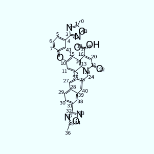 Cc1nc(-c2cccc(Oc3ccc4c(c3)c(C(=O)O)cc(=O)n4Cc3ccc4ccc(-c5noc(C)n5)cc4c3)c2)no1